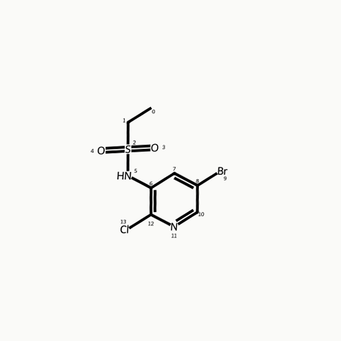 CCS(=O)(=O)Nc1cc(Br)cnc1Cl